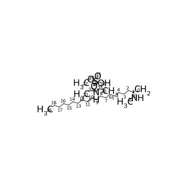 C=C(CCCCCCCCC=CCCCCCCCC)NC.CCNCC.COS(=O)(=O)O